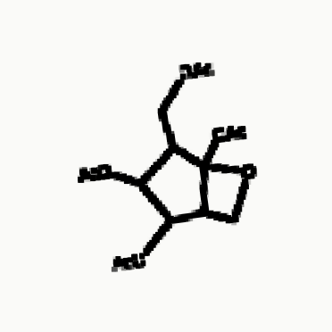 CC(=O)OCC1C(OC(C)=O)C(OC(C)=O)C2COC12OC(C)=O